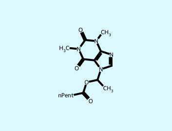 CCCCCC(=O)OC(C)n1cnc2c1c(=O)n(C)c(=O)n2C